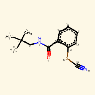 CC(C)(C)CNC(=O)c1ccccc1SC#N